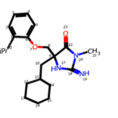 CC(C)c1ccccc1OCC1(CC2CCCCC2)NC(=N)N(C)C1=O